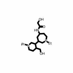 CCN1CCC(NC(=O)CO)CC(C2CN(C(C)C)CCC2CO)C1